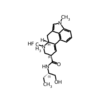 CC[C@@H](CO)NC(=O)[C@@H]1C=C2c3cccc4c3c(cn4C)C[C@H]2N(C)C1.F